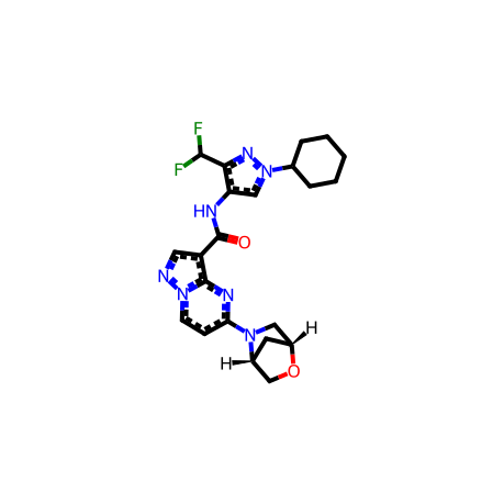 O=C(Nc1cn(C2CCCCC2)nc1C(F)F)c1cnn2ccc(N3C[C@H]4C[C@@H]3CO4)nc12